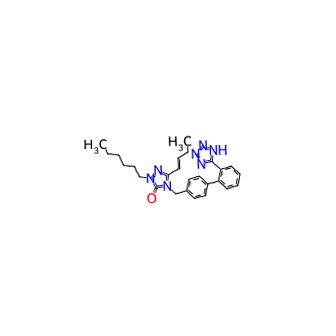 CCC=Cc1nn(CCCCCC)c(=O)n1Cc1ccc(-c2ccccc2-c2nnn[nH]2)cc1